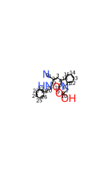 N#CC(=Cc1cn(CC(=O)O)c2ccccc12)C(=O)NCc1ccccc1